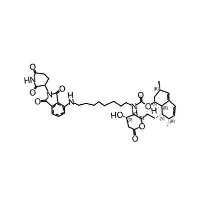 C[C@H]1C=C2C=C[C@H](C)[C@H](CC[C@@H]3C[C@@H](O)CC(=O)O3)[C@H]2[C@@H](OC(=O)NCCCCCCCCNc2cccc3c2C(=O)N(C2CCC(=O)NC2=O)C3=O)C1